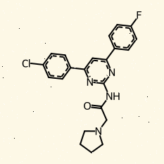 O=C(CN1CCCC1)Nc1nc(-c2ccc(F)cc2)cc(-c2ccc(Cl)cc2)n1